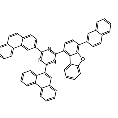 c1ccc2cc(-c3ccc(-c4nc(-c5ccc6ccc7ccccc7c6c5)nc(-c5cc6ccccc6c6ccccc56)n4)c4c3oc3ccccc34)ccc2c1